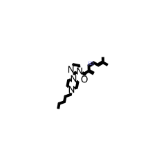 C=C(/C=C\C=C(C)C)C(=O)N1CCN=C1N1CCN(CCCCC)CC1